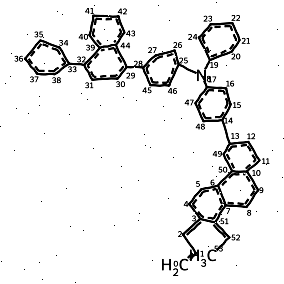 C=C/C=c1/ccc2c(ccc3ccc(-c4ccc(N(c5ccccc5)c5ccc(-c6ccc(-c7ccccc7)c7ccccc67)cc5)cc4)cc32)/c1=C/C